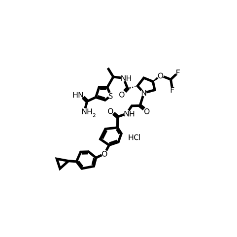 CC(NC(=O)[C@@H]1C[C@@H](OC(F)F)CN1C(=O)CNC(=O)c1ccc(Oc2ccc(C3CC3)cc2)cc1)c1cc(C(=N)N)cs1.Cl